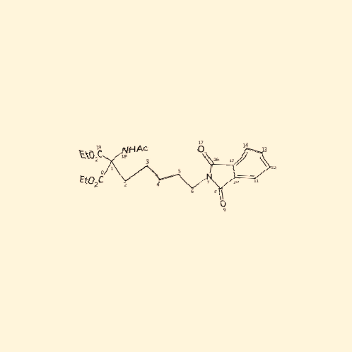 CCOC(=O)C(CCCCCN1C(=O)c2ccccc2C1=O)(NC(C)=O)C(=O)OCC